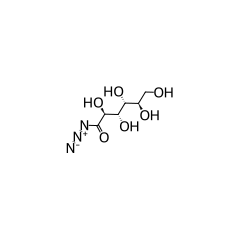 [N-]=[N+]=NC(=O)[C@@H](O)[C@@H](O)[C@H](O)[C@H](O)CO